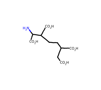 NC(C(=O)O)C(CCC(CC(=O)O)C(=O)O)C(=O)O